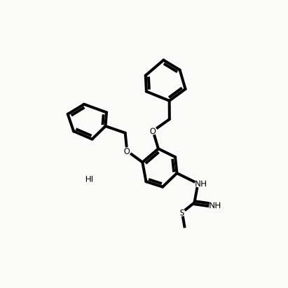 CSC(=N)Nc1ccc(OCc2ccccc2)c(OCc2ccccc2)c1.I